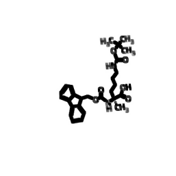 CC(C)(C)OC(=O)NCCCC[C@](C)(NC(=O)OCC1c2ccccc2-c2ccccc21)C(=O)O